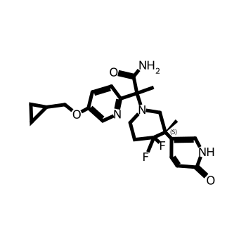 CC(C(N)=O)(c1ccc(OCC2CC2)cn1)N1CCC(F)(F)[C@@](C)(c2ccc(=O)[nH]c2)C1